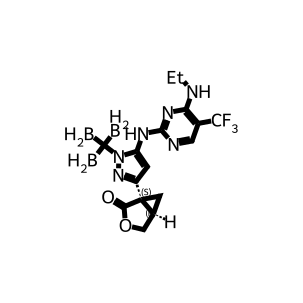 BC(B)(B)n1nc([C@]23C[C@H]2COC3=O)cc1Nc1ncc(C(F)(F)F)c(NCC)n1